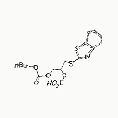 CCCCOC(=O)OCC(CSc1nc2ccccc2s1)OC(=O)O